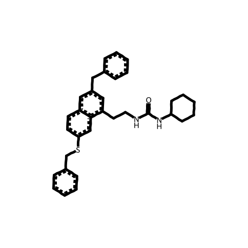 O=C(NCCc1cc(Cc2ccccc2)cc2ccc(SCc3ccccc3)cc12)NC1CCCCC1